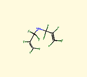 FC(F)=C(F)C(F)(F)NC(F)(F)C(F)=C(F)F